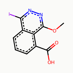 COc1nnc(I)c2cccc(C(=O)O)c12